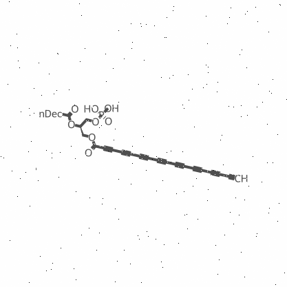 C#CC#CC#CC#CC#CC#CC#CC#CC(=O)OC[C@H](COP(=O)(O)O)OC(=O)CCCCCCCCCC